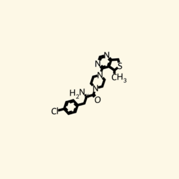 CC1SCc2ncnc(N3CCN(C(=O)[C@H](N)Cc4ccc(Cl)cc4)CC3)c21